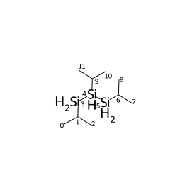 CC(C)[SiH2][SiH]([SiH2]C(C)C)C(C)C